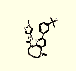 C=C(Nc1cnn(C)c1)N1CCCCN(C)c2ccc(-c3cccc(C(C)(C)F)c3)nc21